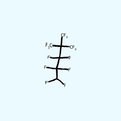 F[C](F)C(F)(F)C(F)(F)C(C(F)(F)F)(C(F)(F)F)C(F)(F)F